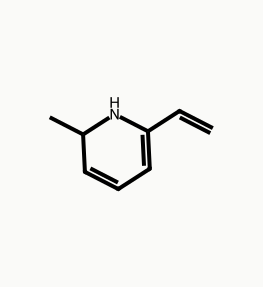 C=CC1=CC=CC(C)N1